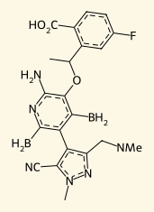 Bc1nc(N)c(OC(C)c2cc(F)ccc2C(=O)O)c(B)c1-c1c(CNC)nn(C)c1C#N